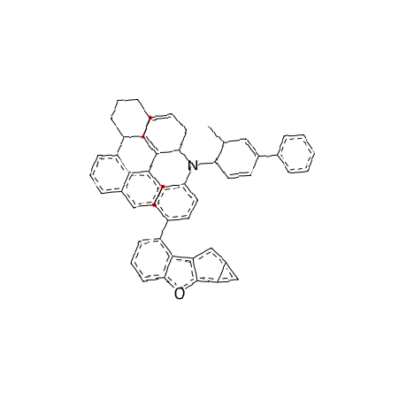 CC1C=C(c2ccccc2)C=CC1N(c1ccc(-c2cccc3oc4c5cc-5cc4c23)cc1)C1CC=CC=C1c1cccc2cccc(C3CCCCC3)c12